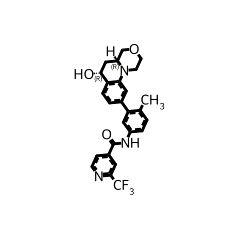 Cc1ccc(NC(=O)c2ccnc(C(F)(F)F)c2)cc1-c1ccc2c(c1)N1CCOC[C@H]1C[C@H]2O